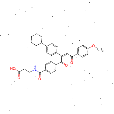 COc1ccc(C(=O)C=C(C(=O)c2ccc(C(=O)NCCC(=O)O)cc2)c2ccc(C3CCCCC3)cc2)cc1